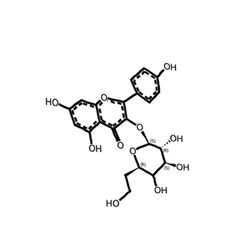 O=c1c(O[C@@H]2O[C@H](CCO)C(O)[C@H](O)[C@H]2O)c(-c2ccc(O)cc2)oc2cc(O)cc(O)c12